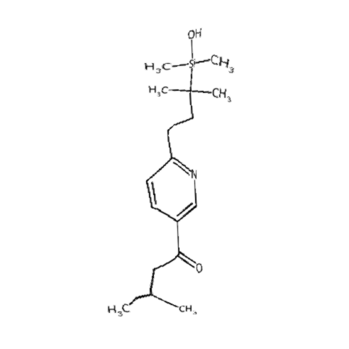 CC(C)CC(=O)c1ccc(CCC(C)(C)[Si](C)(C)O)nc1